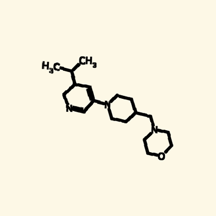 CC(C)C1C=C(N2CCC(CN3CCOCC3)CC2)C=NC1